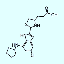 O=C(O)CC[C@@H]1CSC(c2cc3cc(Cl)cc(NC4CCCC4)c3[nH]2)N1